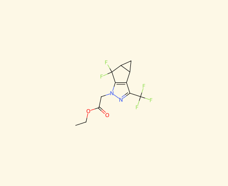 CCOC(=O)Cn1nc(C(F)(F)F)c2c1C(F)(F)C1CC21